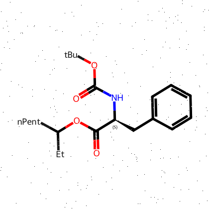 CCCCCC(CC)OC(=O)[C@H](Cc1ccccc1)NC(=O)OC(C)(C)C